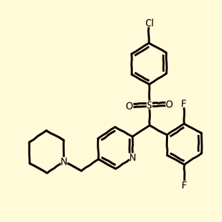 O=S(=O)(c1ccc(Cl)cc1)C(c1ccc(CN2CCCCC2)cn1)c1cc(F)ccc1F